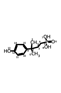 CC(C)(CCP(=O)(O)O)c1ccc(O)cc1